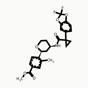 COC(=O)c1ccc([C@@H]2C[C@H](NC(=O)C3(c4ccc5c(c4)OC(F)(F)O5)CC3)CCO2)c(C)c1